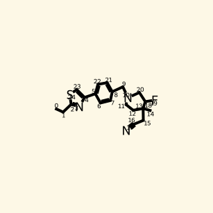 CCc1nc(-c2ccc(CN3CCC(C)(CC#N)C(F)C3)cc2)cs1